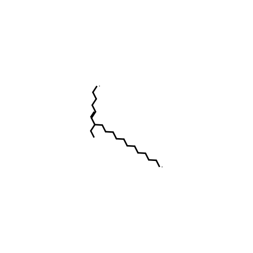 [CH2]CCC/C=C/C(CC)CCCCCCCCCCC[CH2]